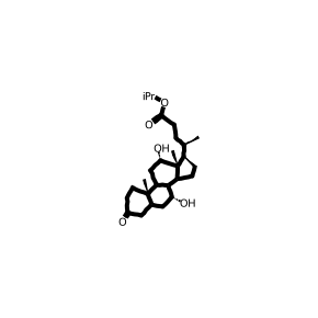 CC(C)OC(=O)CC[C@@H](C)[C@H]1CCC2C3C(C[C@H](O)[C@@]21C)[C@@]1(C)CCC(=O)CC1C[C@H]3O